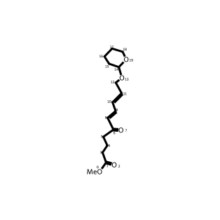 COC(=O)CCCC(=O)C=CC=CCOC1CCCCO1